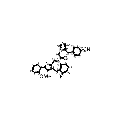 COC1=CC=CCC1c1cn2c(n1)CN(C(=O)Cn1cncc1Cc1ccc(C#N)cc1)C1=C(C2)C(F)=CCC1